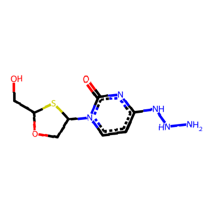 NNNc1ccn(C2COC(CO)S2)c(=O)n1